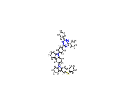 c1ccc(-c2nc(-c3ccccc3)nc(-c3ccc(-n4c5ccccc5c5cc(-n6c7ccccc7c7cc8sc9ccccc9c8cc76)ccc54)cc3)n2)cc1